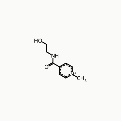 C[n+]1ccc(C(=O)NCCO)cc1